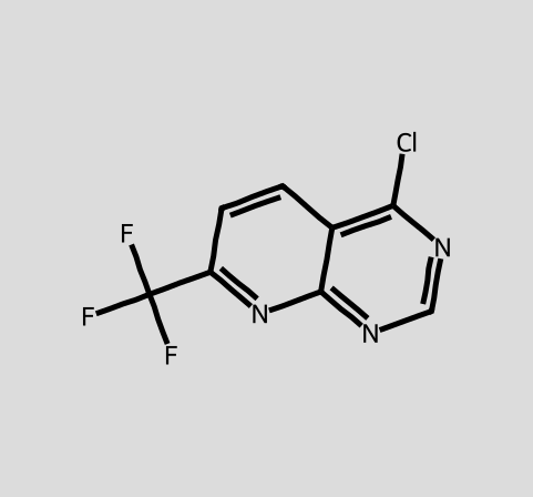 FC(F)(F)c1ccc2c(Cl)ncnc2n1